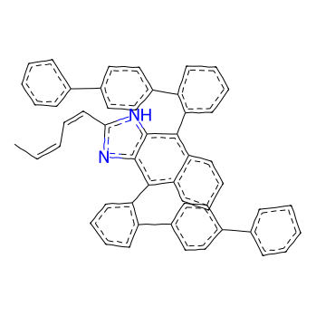 C/C=C\C=C/c1nc2c(-c3ccccc3-c3ccc(-c4ccccc4)cc3)c3ccccc3c(-c3ccccc3-c3ccc(-c4ccccc4)cc3)c2[nH]1